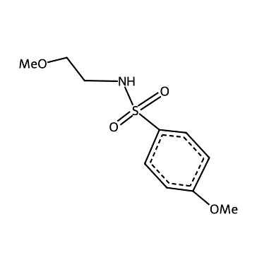 COCCNS(=O)(=O)c1ccc(OC)cc1